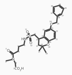 CN(CC(=O)O)C(=O)CCCNS(=O)(=O)CC1CC(C)(C)Oc2ccc(OCc3ccccc3)cc21